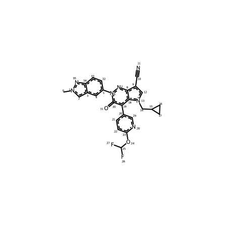 Cn1cc2cc(-n3nc4c(C#N)cn(CC5CC5)c4c(-c4ccc(OC(F)F)nc4)c3=O)ccc2n1